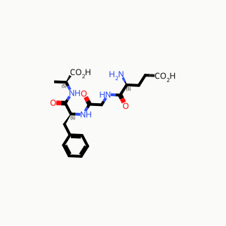 C[C@H](NC(=O)[C@H](Cc1ccccc1)NC(=O)CNC(=O)[C@@H](N)CCC(=O)O)C(=O)O